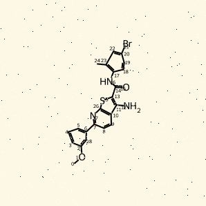 COc1cccc(-c2ccc3c(N)c(C(=O)Nc4ccc(Br)cc4C)sc3n2)c1